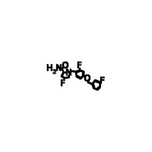 NC(=O)[C@@H]1C[C@H](F)CN1Cc1ccc(OCc2cccc(F)c2)cc1F